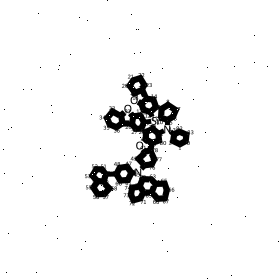 c1ccc(N2c3ccccc3[Si](c3ccc4c(c3)oc3ccccc34)(c3ccc4c(c3)oc3ccccc34)c3cc4oc5cc(N(c6ccc(-c7cccc8ccccc78)cc6)c6cc7ccccc7c7ccccc67)ccc5c4cc32)cc1